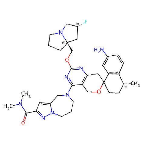 C[C@@H]1CCC2(Cc3nc(OC[C@@]45CCCN4C[C@H](F)C5)nc(N4CCCn5nc(C(=O)N(C)C)cc5C4)c3CO2)c2cc(N)ccc21